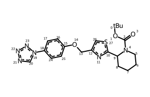 CC(C)(C)OC(=O)N1CCCCC1c1nc(COc2ccc(-n3cnnn3)cc2)cs1